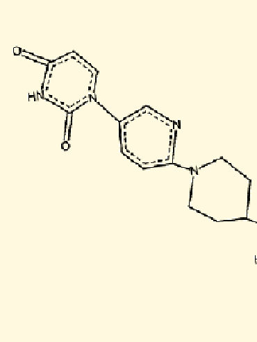 O=c1ccn(-c2ccc(N3CCC(CO)CC3)nc2)c(=O)[nH]1